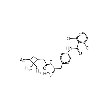 CC(=O)C1CC(CC(=O)N[C@@H](Cc2ccc(NC(=O)c3c(Cl)cccc3Cl)cc2)C(=O)O)C1(C)C